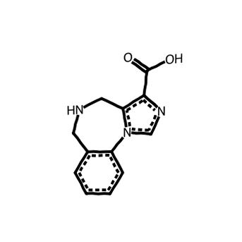 O=C(O)c1ncn2c1CNCc1ccccc1-2